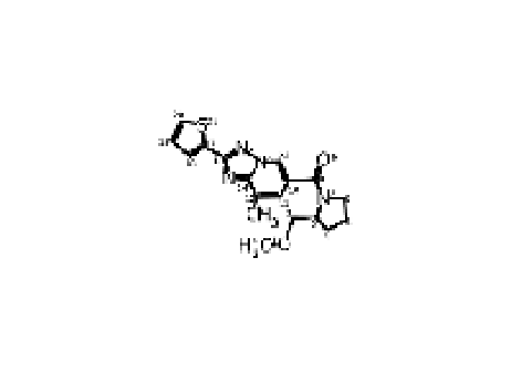 COC[C@@H]1CCCN1C(=O)c1cc(C)c2nc(-c3cccs3)nn2c1